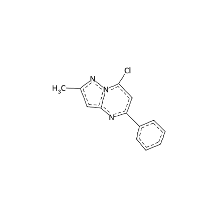 Cc1cc2nc(-c3ccccc3)cc(Cl)n2n1